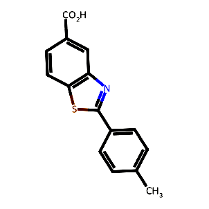 Cc1ccc(-c2nc3cc(C(=O)O)ccc3s2)cc1